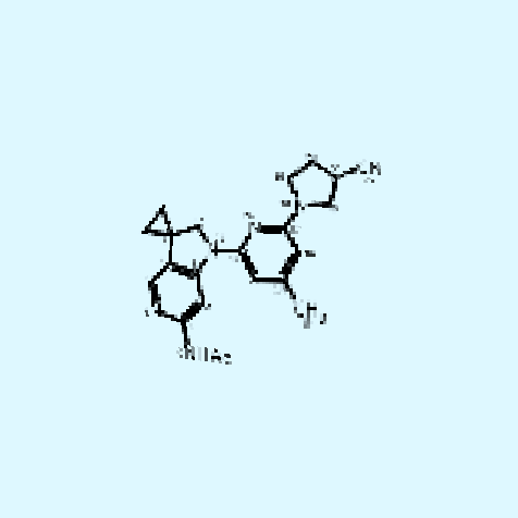 CC(=O)Nc1cc2c(cn1)C1(CC1)CN2c1cc(C)cc(N2CC[C@@H](C#N)C2)n1